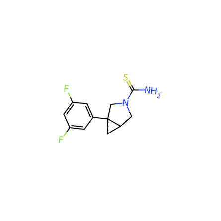 NC(=S)N1CC2CC2(c2cc(F)cc(F)c2)C1